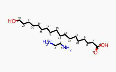 NCCN.O=C(O)CCCCCCCCCCCCCCCCCO